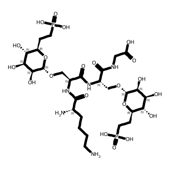 NCCCC[C@H](N)C(=O)N[C@@H](CO[C@H]1O[C@H](CCP(=O)(O)O)[C@@H](O)[C@H](O)[C@@H]1O)C(=O)N[C@@H](CO[C@H]1O[C@H](CCP(=O)(O)O)[C@@H](O)[C@H](O)[C@@H]1O)C(=O)NCC(=O)O